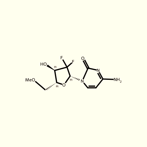 COC[C@H]1O[C@@H](n2ccc(N)nc2=O)C(F)(F)[C@@H]1O